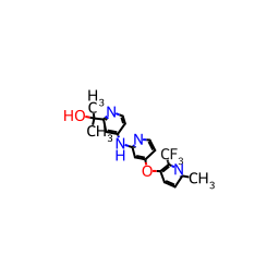 Cc1ccc(Oc2ccnc(Nc3ccnc(C(C)(C)O)c3)c2)c(C(F)(F)F)n1